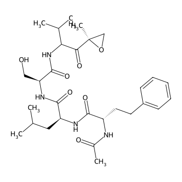 CC(=O)N[C@@H](CCc1ccccc1)C(=O)N[C@@H](CC(C)C)C(=O)N[C@@H](CO)C(=O)NC(C(=O)[C@@]1(C)CO1)C(C)C